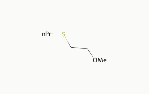 [CH2]CCSCCOC